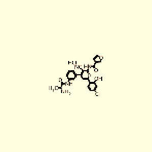 CC(N)C(=O)Nc1cccc(-c2cc(-c3ccc(Cl)cc3O)nc(NC(=O)c3ccoc3)c2C#N)c1.Cl